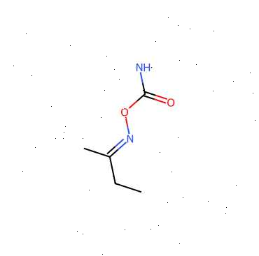 CCC(C)=NOC([NH])=O